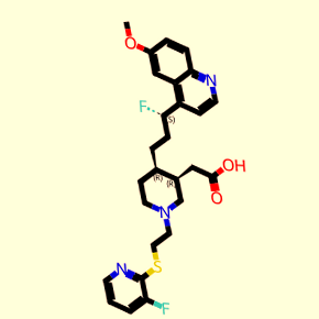 COc1ccc2nccc([C@@H](F)CC[C@@H]3CCN(CCSc4ncccc4F)C[C@@H]3CC(=O)O)c2c1